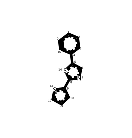 c1cccc(-c2cnc(-c3cccs3)s2)c#1